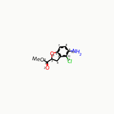 COC(=O)C1Cc2c(ccc(N)c2Cl)O1